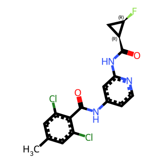 Cc1cc(Cl)c(C(=O)Nc2ccnc(NC(=O)[C@H]3C[C@H]3F)c2)c(Cl)c1